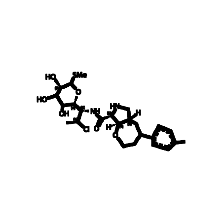 CSC1O[C@H]([C@H](NC(=O)[C@H]2NC[C@@H]3CC(c4ccc(C)cc4)CCO[C@H]32)[C@H](C)Cl)C(O)C(O)[C@H]1O